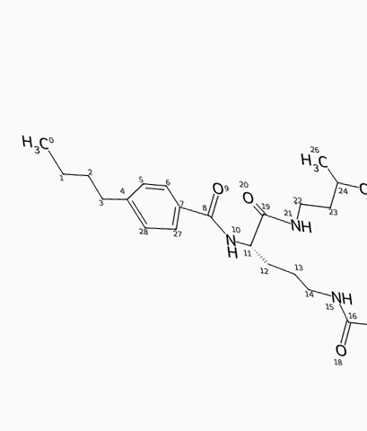 CCCCc1ccc(C(=O)N[C@@H](CCCNC(N)=O)C(=O)N[CH]CC(C)C)cc1